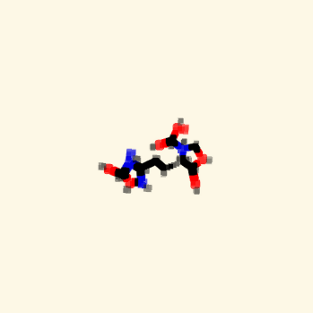 O=C1OCN(C(=O)O)[C@H]1CCc1noc(=O)[nH]1